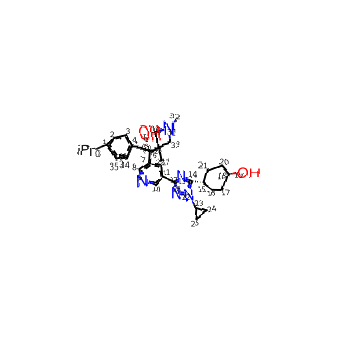 CC(C)c1ccc([C@](O)(c2cncc(-c3nc([C@H]4CC[C@H](O)CC4)n(C4CC4)n3)c2)C2(C)CN(C)C2)cc1